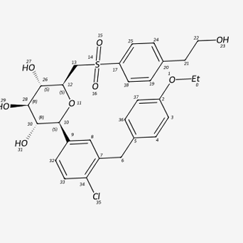 CCOc1ccc(Cc2cc([C@@H]3O[C@H](CS(=O)(=O)c4ccc(CCO)cc4)[C@@H](O)[C@H](O)[C@H]3O)ccc2Cl)cc1